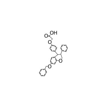 O=C(O)COc1ccc(C2c3ccc(OCc4ccccc4)cc3OCC2c2ccccc2)cc1